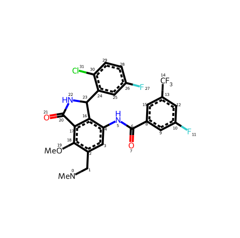 CNCc1cc(NC(=O)c2cc(F)cc(C(F)(F)F)c2)c2c(c1OC)C(=O)NC2c1cc(F)ccc1Cl